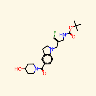 CC(C)(C)OC(=O)NCC(=CF)CN1CCc2cc(C(=O)N3CCC(O)CC3)ccc21